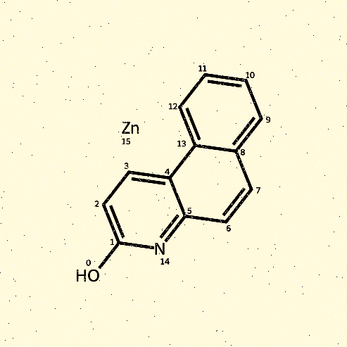 Oc1ccc2c(ccc3ccccc32)n1.[Zn]